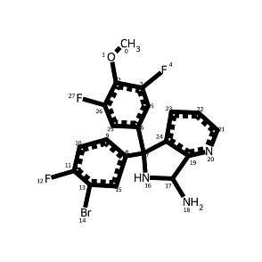 COc1c(F)cc(C2(c3ccc(F)c(Br)c3)NC(N)c3ncccc32)cc1F